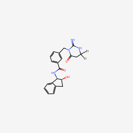 CCC1(CC)CC(=O)N(Cc2cccc(C(=O)N[C@@H]3c4ccccc4C[C@@H]3O)c2)C(=N)N1